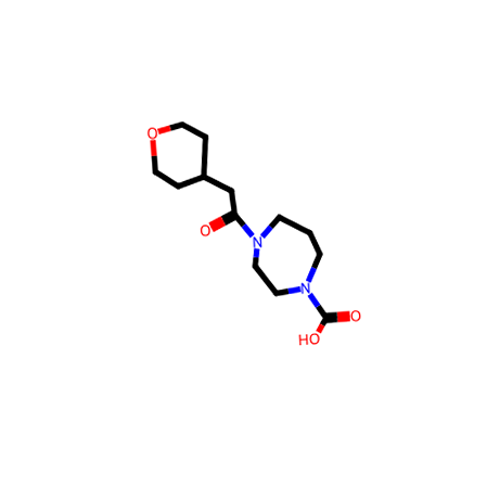 O=C(O)N1CCCN(C(=O)CC2CCOCC2)CC1